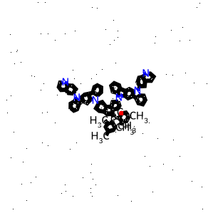 Cc1cc(C)c(B(c2c(C)cc(C)cc2C)c2cc3ccc(-n4c5ccccc5c5cc6c(cc54)c4ccccc4n6-c4ccc5ncccc5c4)cc3c3cc(-n4c5ccccc5c5cc6c(cc54)c4ccccc4n6-c4ccc5ncccc5c4)ccc23)c(C)c1